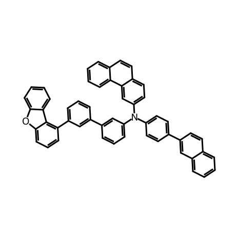 c1cc(-c2cccc(N(c3ccc(-c4ccc5ccccc5c4)cc3)c3ccc4ccc5ccccc5c4c3)c2)cc(-c2cccc3oc4ccccc4c23)c1